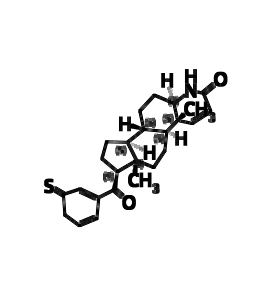 C[C@]12C=CC(=O)N[C@@H]1CC[C@@H]1[C@@H]2CC[C@]2(C)[C@@H](C(=O)C3=CC(=S)CC=C3)CC[C@@H]12